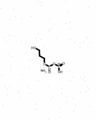 N.O=[PH](O)O[PH](=O)OCCCO